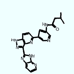 CC(C)CC(=O)Nc1cncc(-c2ccc3[nH]nc(-c4nc5cccnc5[nH]4)c3n2)c1